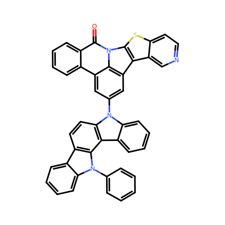 O=c1c2ccccc2c2cc(-n3c4ccccc4c4c3ccc3c5ccccc5n(-c5ccccc5)c34)cc3c4c5cnccc5sc4n1c23